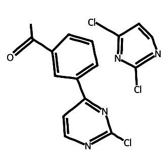 CC(=O)c1cccc(-c2ccnc(Cl)n2)c1.Clc1ccnc(Cl)n1